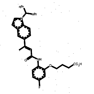 CCCC(CCC)n1ccc2cc(C(C)=CC(=O)Nc3ccc(F)cc3OCCCC(=O)O)ccc21